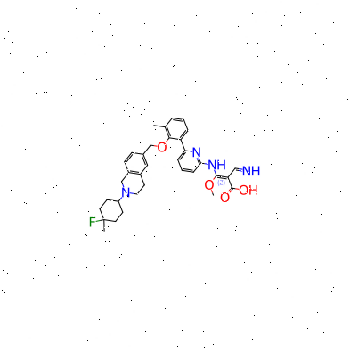 CO/C(Nc1cccc(-c2cccc(C)c2OCc2ccc3c(c2)CCN(C2CCC(C)(F)CC2)C3)n1)=C(/C=N)C(=O)O